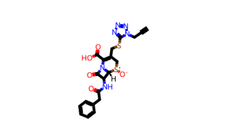 C#CCn1nnnc1SCC1=C(C(=O)O)N2C(=O)C(NC(=O)Cc3ccccc3)[C@H]2[S+]([O-])C1